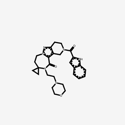 O=C(c1cc2ccccc2[nH]1)N1CCc2nn3c(c2C1)C(=O)N(CCN1CCOCC1)C1(CC3)CC1